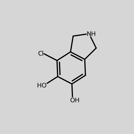 Oc1cc2c(c(Cl)c1O)CNC2